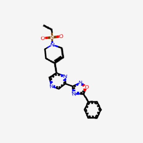 CCS(=O)(=O)N1CC=C(c2cncc(-c3noc(-c4ccccc4)n3)n2)CC1